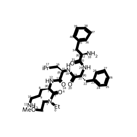 CCN(CCOC)C(=O)[C@@H](CCCN)NC(=O)[C@@H](CC(C)C)NC(=O)[C@@H](Cc1ccccc1)NC(=O)[C@H](N)Cc1ccccc1